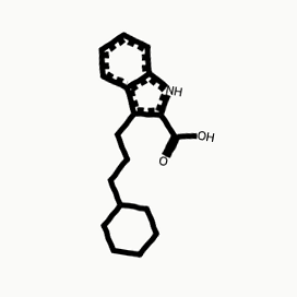 O=C(O)c1[nH]c2ccccc2c1CCCC1CCCCC1